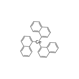 c1ccc2[c]([Ge]([c]3cccc4ccccc34)[c]3cccc4ccccc34)cccc2c1